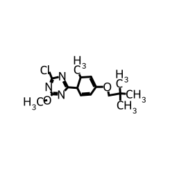 COc1nc(Cl)nc(C2C=CC(OCC(C)(C)C)=CC2C)n1